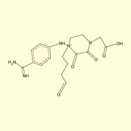 N=C(N)c1ccc(N[N+]2(CCCC=O)CCN(CC(=O)O)C(=O)C2=O)cc1